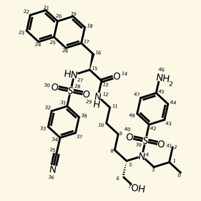 CC(C)CN([C@H](CO)CCCCNC(=O)[C@H](Cc1ccc2ccccc2c1)NS(=O)(=O)c1ccc(C#N)cc1)S(=O)(=O)c1ccc(N)cc1